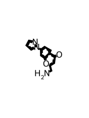 NCc1cc(=O)c2ccc(-n3cccn3)cc2o1